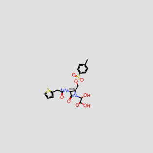 Cc1ccc(S(=O)(=O)OC[C@@H]2[C@H](NC(=O)Cc3cccs3)C(=O)N2C(O)C(=O)O)cc1